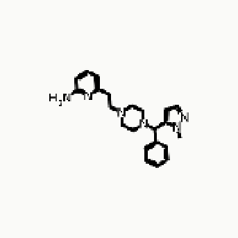 Cn1nccc1C(c1ccccc1)N1CCN(CCc2cccc(N)n2)CC1